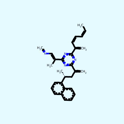 C=N/C=C(\C)c1nc(C(=C)/C=C\C=C/C)nc(C(=C)C[C@@H](C)c2cccc3ccccc23)n1